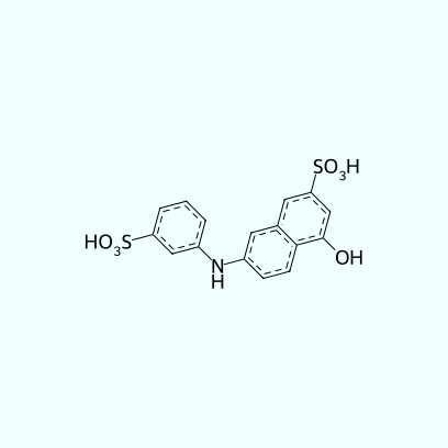 O=S(=O)(O)c1cccc(Nc2ccc3c(O)cc(S(=O)(=O)O)cc3c2)c1